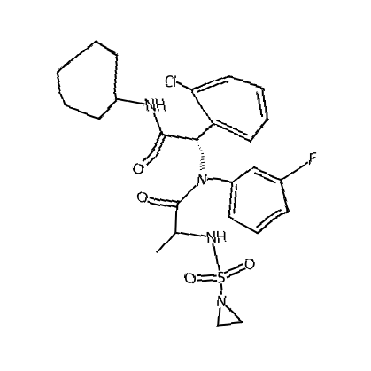 CC(NS(=O)(=O)N1CC1)C(=O)N(c1cccc(F)c1)[C@H](C(=O)NC1CCCCC1)c1ccccc1Cl